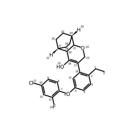 CCc1ccc(Oc2ccc(Cl)cc2F)cc1C1=C(O)C2C(OC1)[C@H]1CC[C@@H]2CC1